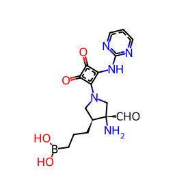 N[C@@]1(C=O)CN(c2c(Nc3ncccn3)c(=O)c2=O)C[C@@H]1CCCB(O)O